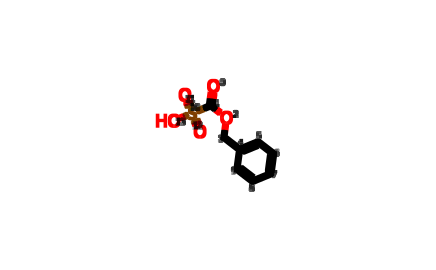 O=C(OCc1ccccc1)S(=O)(=O)O